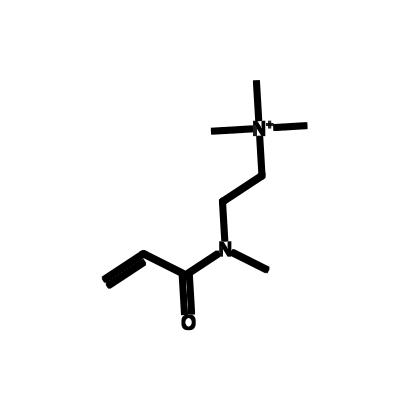 C=CC(=O)N(C)CC[N+](C)(C)C